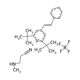 CC(C)(C)c1cc(C=Cc2ccccc2)cc(C(C)(C)C)[s+]1.CNCCC#N.F[B-](F)(F)F